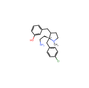 CN1CCC(Cc2cccc(O)c2)[C@@]1(CCN)Cc1ccc(Cl)cc1